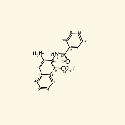 Nc1cc2ccccc2c(C(=O)O)c1NC(=O)c1ccccc1